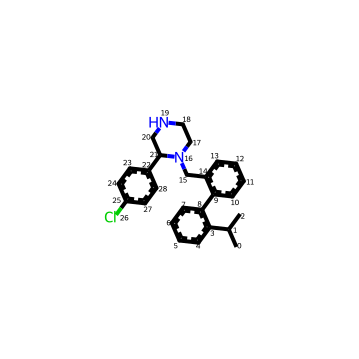 CC(C)c1ccccc1-c1ccccc1CN1CCNCC1c1ccc(Cl)cc1